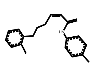 C=C(/C=C\CCCc1ccccc1C)Nc1ccc(C)cc1